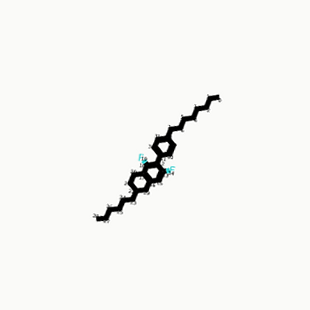 CCCCCCCCc1ccc(-c2c(F)cc3c(c2F)CCC(CCCCCC)C3)cc1